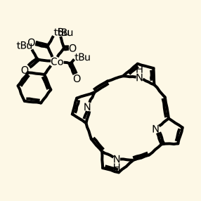 C1=Cc2cc3ccc(cc4nc(cc5ccc(cc1n2)[nH]5)C=C4)[nH]3.CC(C)(C)[C](=O)[Co]([C](=O)C(C)(C)C)([C](=O)C(C)(C)C)([C](=O)C(C)(C)C)[c]1ccccc1